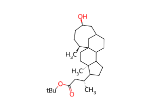 C[C@H](CC(=O)OC(C)(C)C)C1CCC2C3CCC4C[C@H](O)CC[C@H](C)C3(CC[C@@]21C)C4